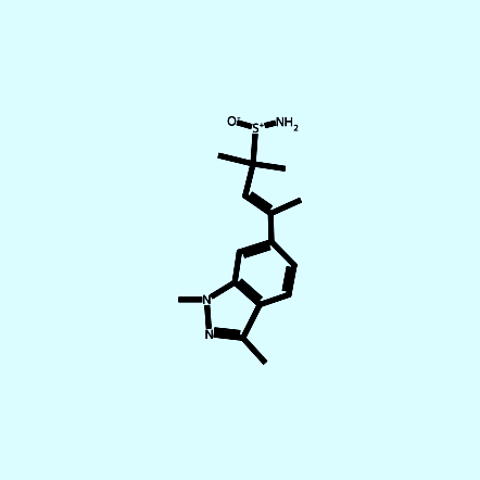 CC(=CC(C)(C)[S+](N)[O-])c1ccc2c(C)nn(C)c2c1